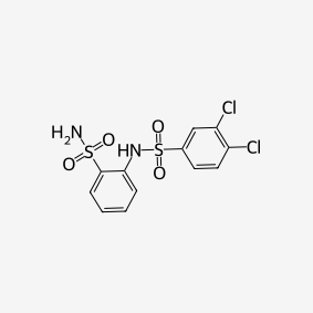 NS(=O)(=O)c1ccccc1NS(=O)(=O)c1ccc(Cl)c(Cl)c1